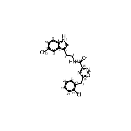 O=C(NCCc1c[nH]c2ccc(Cl)cc12)c1noc(Cc2ccccc2Cl)n1